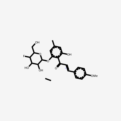 CC.COc1ccc(/C=C/C(=O)c2c(O)cc(C)cc2OC2OC(CO)C(F)C(O)C2O)cc1